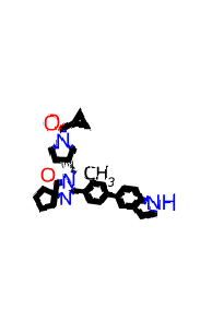 Cc1cc(-c2ccc3[nH]ccc3c2)ccc1C1=NC2(CCCC2)C(=O)N1C[C@@H]1CCN(C(=O)C2CC2)C1